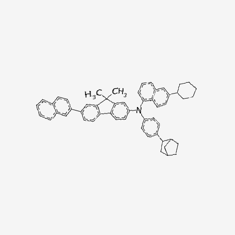 CC1(C)c2cc(-c3ccc4ccccc4c3)ccc2-c2ccc(N(c3ccc(C4CC5CCC4C5)cc3)c3cccc4cc(C5CCCCC5)ccc34)cc21